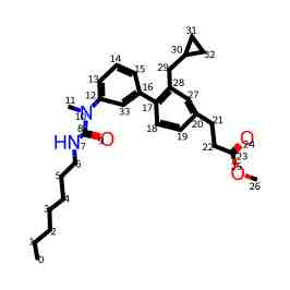 CCCCCCCNC(=O)N(C)c1cccc(-c2ccc(CCC(=O)OC)cc2CC2CC2)c1